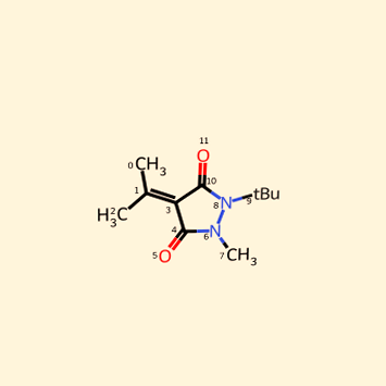 CC(C)=C1C(=O)N(C)N(C(C)(C)C)C1=O